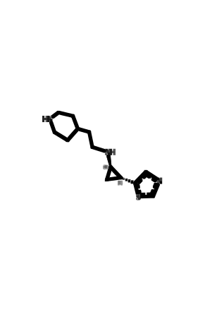 c1ncc([C@@H]2C[C@H]2NCCC2CCNCC2)s1